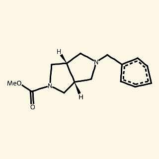 COC(=O)N1C[C@H]2CN(Cc3ccccc3)C[C@H]2C1